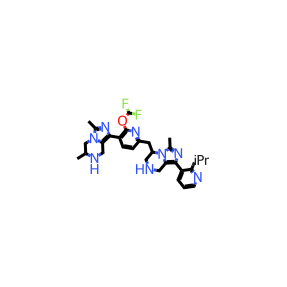 Cc1nc(-c2ccc(CC3CNCc4c(-c5cccnc5C(C)C)nc(C)n43)nc2OC(F)F)c2n1CC(C)NC2